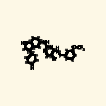 FC(F)(F)Oc1cccc(CNc2nc(Nc3ccc4[nH]cc(C5=CCNCC5)c4c3)ncc2Br)c1